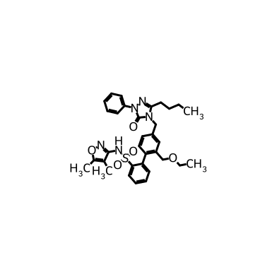 CCCCc1nn(-c2ccccc2)c(=O)n1Cc1ccc(-c2ccccc2S(=O)(=O)Nc2noc(C)c2C)c(COCC)c1